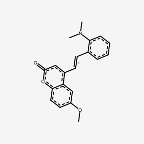 COc1ccc2oc(=O)cc(/C=C/c3ccccc3N(C)C)c2c1